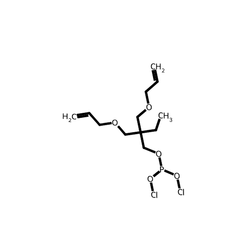 C=CCOCC(CC)(COCC=C)COP(OCl)OCl